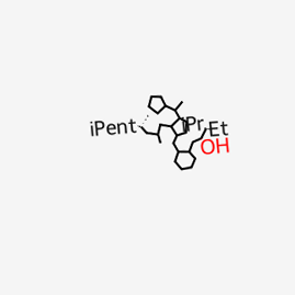 CCC[C@@H](C)[C@H](C)CC(C)CC1C(CC2CCCCC2CC(O)[C@@H](CC)C(C)C)CCC1C(C)C1CCCC1